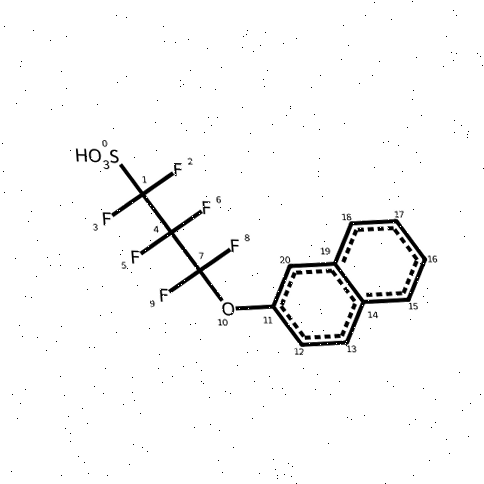 O=S(=O)(O)C(F)(F)C(F)(F)C(F)(F)Oc1ccc2ccccc2c1